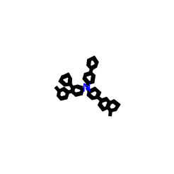 CC1C=C(c2ccc(N(c3ccc(-c4ccccc4)cc3)c3ccc(-c4ccc5c(c4)C=CCC5C)cc3)cc2-c2ccccc2)C=CC1